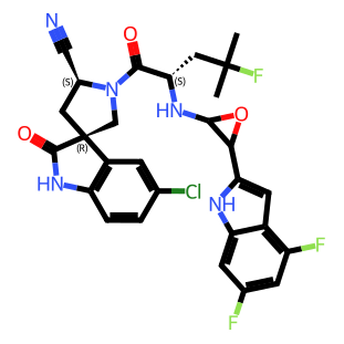 CC(C)(F)C[C@H](NC1OC1c1cc2c(F)cc(F)cc2[nH]1)C(=O)N1C[C@]2(C[C@H]1C#N)C(=O)Nc1ccc(Cl)cc12